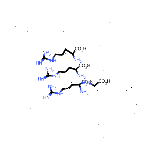 N=C(N)NCCCC(N)C(=O)O.N=C(N)NCCCC(N)C(=O)O.N=C(N)NCCCC(N)C(=O)O.NCC(=O)O